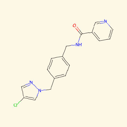 O=C(NCc1ccc(Cn2cc(Cl)cn2)cc1)c1cccnc1